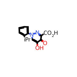 CC(C)c1ccccc1-n1cc(O)c(=O)c(C(=O)O)n1